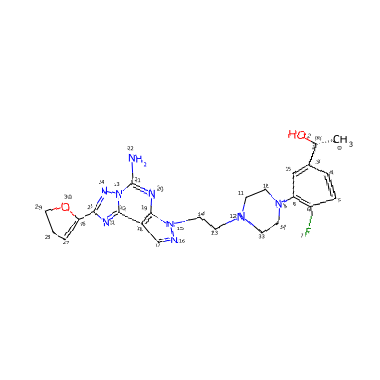 C[C@@H](O)c1ccc(F)c(N2CCN(CCn3ncc4c3nc(N)n3nc(C5=CCCO5)nc43)CC2)c1